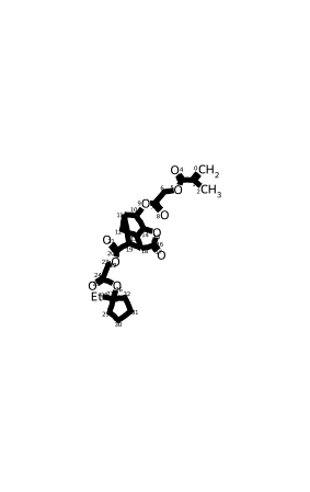 C=C(C)C(=O)OCC(=O)OC1C2CC3C1OC(=O)C3C2C(=O)OCC(=O)OC1(CC)CCCC1